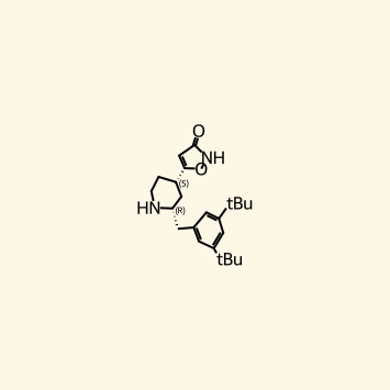 CC(C)(C)c1cc(C[C@H]2C[C@@H](c3cc(=O)[nH]o3)CCN2)cc(C(C)(C)C)c1